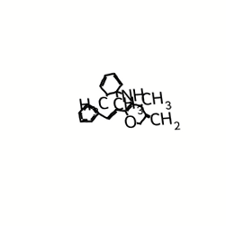 C=C1COC(C=Cc2ccccc2)=C(NC2(C)C=CC=CC2C)C1C